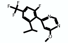 COc1cc(-c2c(F)cc(C(F)(F)F)cc2C(C)C)ncn1